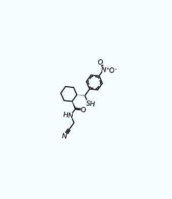 N#CCNC(=O)[C@H]1CCCC[C@@H]1C(S)c1ccc([N+](=O)[O-])cc1